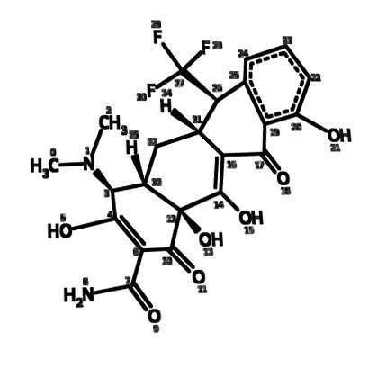 CN(C)[C@@H]1C(O)=C(C(N)=O)C(=O)[C@@]2(O)C(O)=C3C(=O)c4c(O)cccc4[C@H](C(F)(F)F)[C@H]3C[C@@H]12